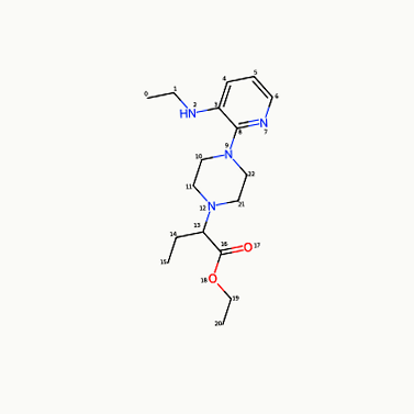 CCNc1cccnc1N1CCN(C(CC)C(=O)OCC)CC1